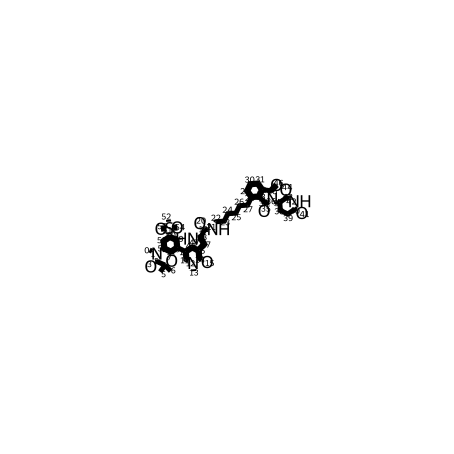 CN1C(=O)C(C)(C)Oc2c(-c3cn(C)c(=O)c4cc(C(=O)NCCCCCCc5cccc6c5C(=O)N(C5CCC(=O)NC5=O)C6=O)[nH]c34)cc(S(C)(=O)=O)cc21